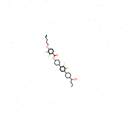 C=CCCCOc1ccc(C(=O)OC2CCC(c3ccc(C4CCC(C(O)CCC)CC4)c(F)c3F)CC2)c(F)c1F